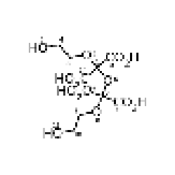 O=C(O)C(OCCO)(OC(OCCO)(C(=O)O)C(=O)O)C(=O)O